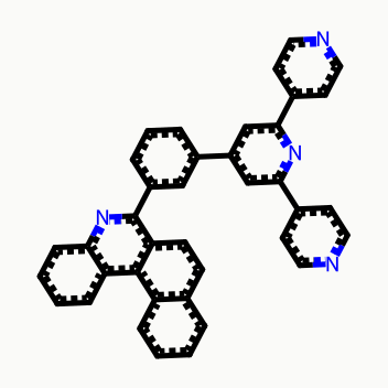 c1cc(-c2cc(-c3ccncc3)nc(-c3ccncc3)c2)cc(-c2nc3ccccc3c3c2ccc2ccccc23)c1